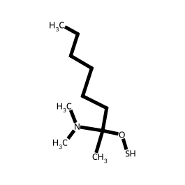 CCCCCCC(C)(OS)N(C)C